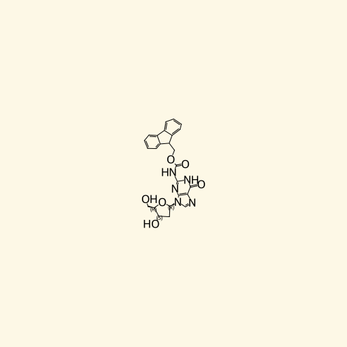 O=C(Nc1nc2c(ncn2[C@H]2C[C@H](O)[C@@H](CO)O2)c(=O)[nH]1)OCC1c2ccccc2-c2ccccc21